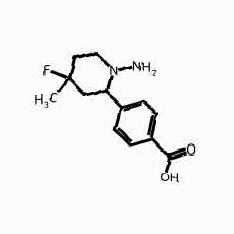 CC1(F)CCN(N)C(c2ccc(C(=O)O)cc2)C1